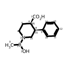 CB(O)N1CC[C@@H](C(=O)O)[C@@H](c2ccccc2)C1